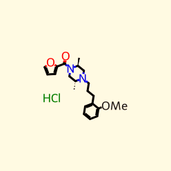 COc1ccccc1CCCN1C[C@H](C)N(C(=O)c2ccco2)C[C@H]1C.Cl